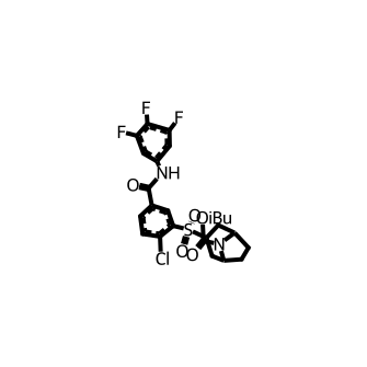 CC(C)COC(=O)N1C2CCC1CC(S(=O)(=O)c1cc(C(=O)Nc3cc(F)c(F)c(F)c3)ccc1Cl)C2